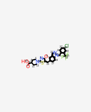 O=C1N=C(N2CCC(C(=O)O)CC2)SC1=Cc1ccc2c(cnn2Cc2ccc(Cl)cc2C(F)(F)F)c1